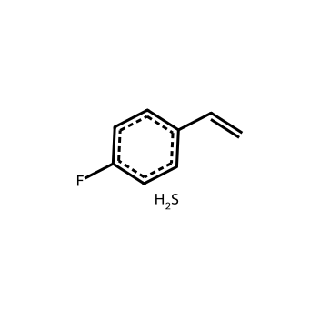 C=Cc1ccc(F)cc1.S